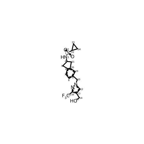 O=S(=O)(NC1Cc2ccc(Cn3cc(CO)c(C(F)(F)F)n3)cc2C1)C1CC1